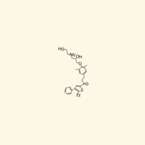 CCc1sc(C(=O)CCc2cc(C)c(OCC(O)CNCCO)c(C)c2)cc1-c1ccccc1